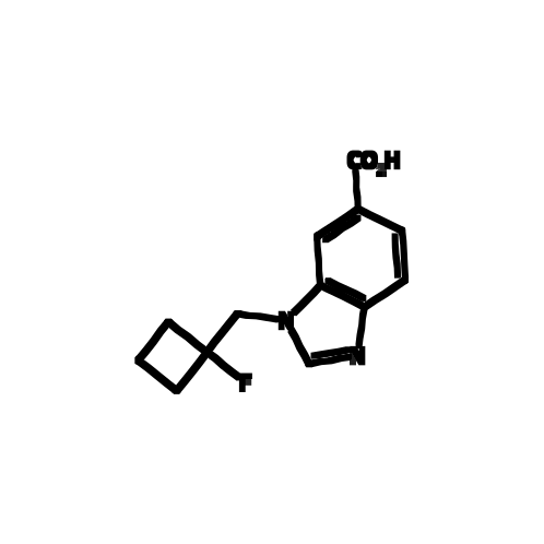 O=C(O)c1ccc2ncn(CC3(F)CCC3)c2c1